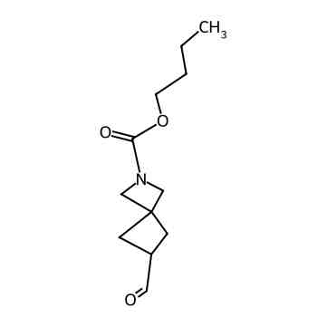 CCCCOC(=O)N1CC2(CC(C=O)C2)C1